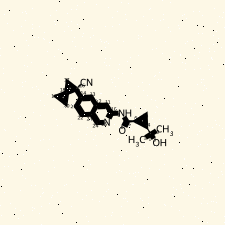 CC(C)(O)[C@H]1C[C@@H]1C(=O)Nc1cc2cc([C@]3(C#N)CC34CC4)ccc2cn1